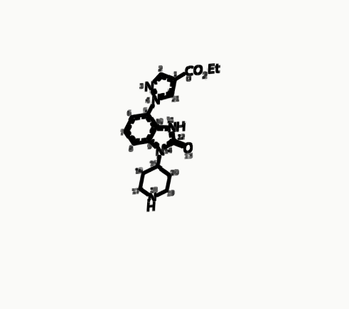 CCOC(=O)c1cnn(-c2cccc3c2[nH]c(=O)n3C2CCNCC2)c1